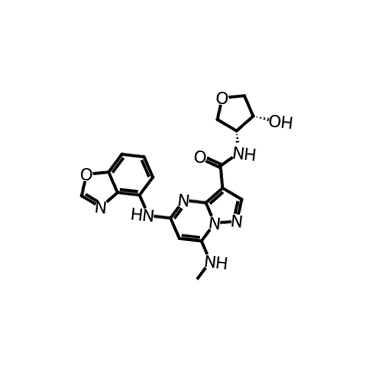 CNc1cc(Nc2cccc3ocnc23)nc2c(C(=O)N[C@@H]3COC[C@@H]3O)cnn12